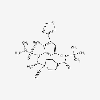 C=C(N(c1cc(Cl)cc(-c2ccoc2)c1N)S(=O)(=O)N(C)C)C1(C#N)CCN(C(=O)OC(C)(C)C)CC1